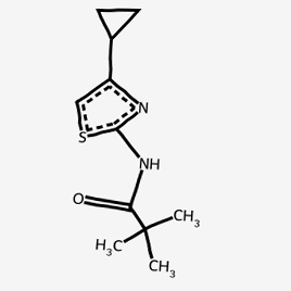 CC(C)(C)C(=O)Nc1nc(C2CC2)cs1